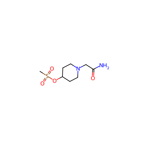 CS(=O)(=O)OC1CCN(CC(N)=O)CC1